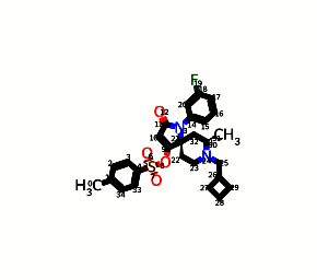 Cc1ccc(S(=O)(=O)OC2=CC(=O)N(c3cccc(F)c3)[C@@]23CCN(CC2CCC2)[C@@H](C)C3)cc1